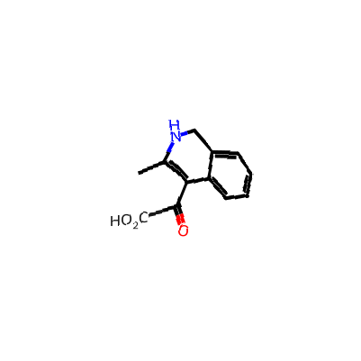 CC1=C(C(=O)C(=O)O)c2ccccc2CN1